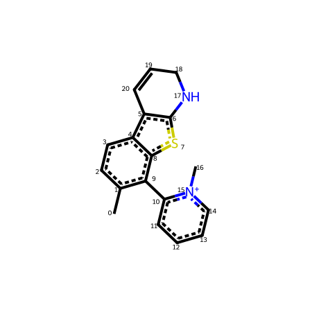 Cc1ccc2c3c(sc2c1-c1cccc[n+]1C)NCC=C3